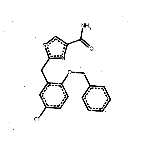 NC(=O)c1csc(Cc2cc(Cl)ccc2OCc2ccccc2)n1